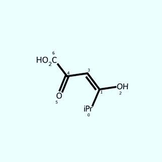 CC(C)/C(O)=C\C(=O)C(=O)O